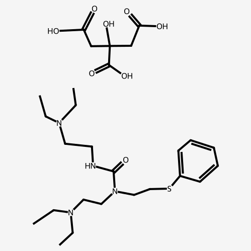 CCN(CC)CCNC(=O)N(CCSc1ccccc1)CCN(CC)CC.O=C(O)CC(O)(CC(=O)O)C(=O)O